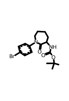 CC(C)(C)OC(=O)NC1CCCCN(c2ccc(Br)cc2)C1=O